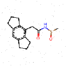 C[S+]([O-])NC(=O)Cc1c2c(cc3c1CCC3)CCC2